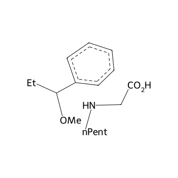 CCC(OC)c1ccccc1.CCCCCNCC(=O)O